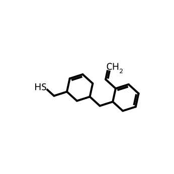 C=CC1=CC=CCC1CC1CC=CC(CS)C1